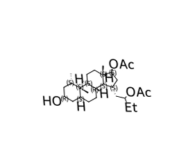 CCC(C[C@H]1C[C@H](OC(C)=O)[C@@]2(C)CC[C@H]3[C@@H](CC[C@H]4C[C@H](O)C[C@H](C)[C@@]43C)[C@H]12)OC(C)=O